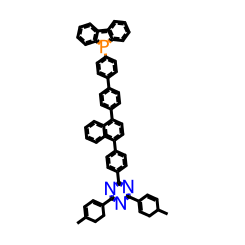 CC1=CC=C(c2nc(C3=CCC(C)C=C3)nc(-c3ccc(-c4ccc(-c5ccc(-c6ccc(-p7c8ccccc8c8ccccc87)cc6)cc5)c5ccccc45)cc3)n2)CC1